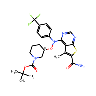 Cc1c(C(N)=O)sc2ncnc(N(O[C@H]3CCCN(C(=O)OC(C)(C)C)C3)c3ccc(C(F)(F)F)cc3)c12